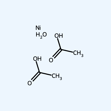 CC(=O)O.CC(=O)O.O.[Ni]